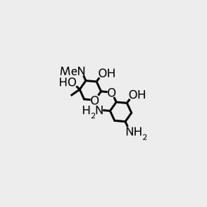 CNC1C(O)C(OC2C(N)CC(N)CC2O)OCC1(C)O